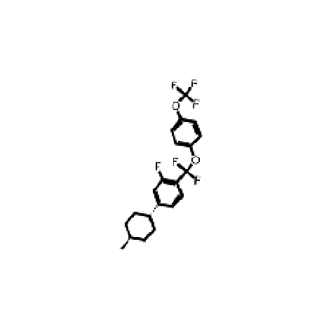 C[C@H]1CC[C@H](c2ccc(C(F)(F)Oc3ccc(OC(F)(F)F)cc3)c(F)c2)CC1